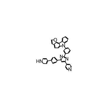 C1=CC(c2ccc(-c3cc(-c4ccncc4)nc(-c4cccc(-n5c6ccccc6c6c7occc7ccc65)c4)n3)cc2)=CCN1